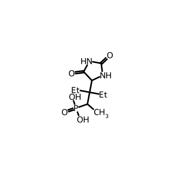 CCC(CC)(C1NC(=O)NC1=O)C(C)P(=O)(O)O